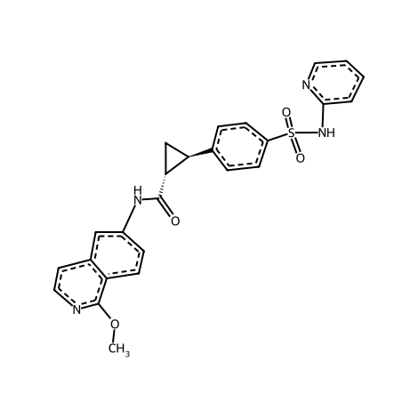 COc1nccc2cc(NC(=O)[C@@H]3C[C@H]3c3ccc(S(=O)(=O)Nc4ccccn4)cc3)ccc12